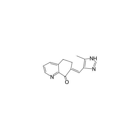 Cc1[nH]cnc1C=C1CCc2cccnc2C1=O